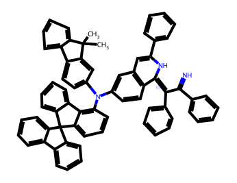 CC1(C)c2ccccc2-c2ccc(N(c3ccc4c(c3)C=C(c3ccccc3)N/C4=C(\C(=N)c3ccccc3)c3ccccc3)c3cccc4c3-c3ccccc3C43c4ccccc4-c4ccccc43)cc21